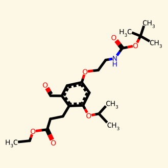 CCOC(=O)CCc1c(C=O)cc(OCCNC(=O)OC(C)(C)C)cc1OC(C)C